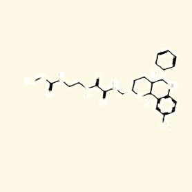 CC(C)(C)OC(=O)NCCNC(=O)C(=O)NC[C@H]1CC[C@@H]2[C@H](O1)c1cc(C(F)(F)F)ccc1N[C@H]2C1C=CC=CC1